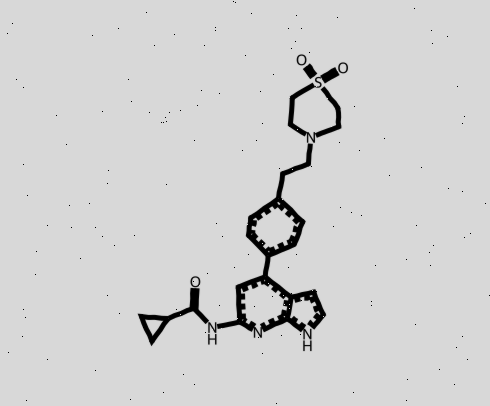 O=C(Nc1cc(-c2ccc(CCN3CCS(=O)(=O)CC3)cc2)c2cc[nH]c2n1)C1CC1